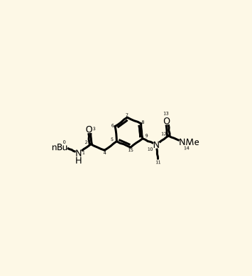 CCCCNC(=O)Cc1cccc(N(C)C(=O)NC)c1